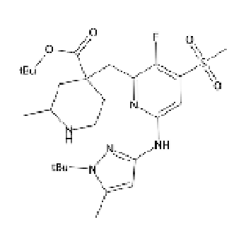 Cc1cc(Nc2cc(S(C)(=O)=O)c(F)c(CC3(C(=O)OC(C)(C)C)CCNC(C)C3)n2)nn1C(C)(C)C